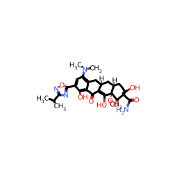 CO[C@@]12C(=O)C(C(N)=O)=C(O)C[C@@H]1C[C@@H]1Cc3c(N(C)C)cc(-c4nc(C(C)C)no4)c(O)c3C(=O)C1=C2O